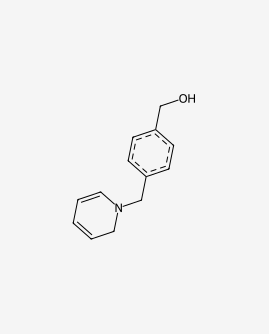 OCc1ccc(CN2C=CC=CC2)cc1